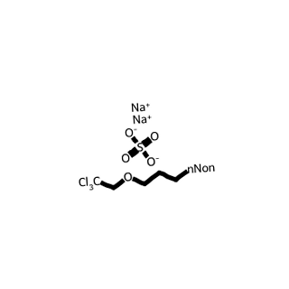 CCCCCCCCCCCCOCC(Cl)(Cl)Cl.O=S(=O)([O-])[O-].[Na+].[Na+]